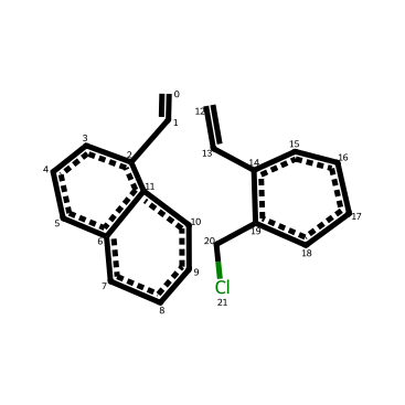 C=Cc1cccc2ccccc12.C=Cc1ccccc1CCl